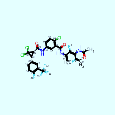 C=C(F)/C(NC(C)=O)=C(F)\C(=C/C)NC(=O)c1cc(NC(=O)[C@H]2[C@H](c3ccc(F)c(C(F)(F)F)c3)C2(Cl)Cl)ccc1Cl